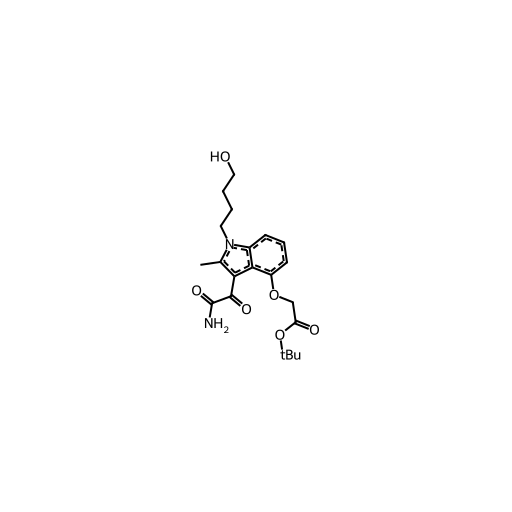 Cc1c(C(=O)C(N)=O)c2c(OCC(=O)OC(C)(C)C)cccc2n1CCCCO